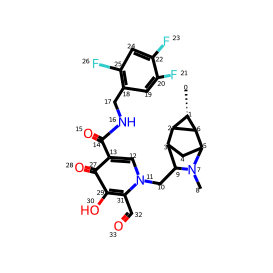 C[C@H]1C2C3CC(C21)N(C)C3Cn1cc(C(=O)NCc2cc(F)c(F)cc2F)c(=O)c(O)c1C=O